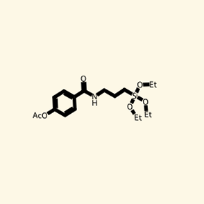 CCO[Si](CCCNC(=O)c1ccc(OC(C)=O)cc1)(OCC)OCC